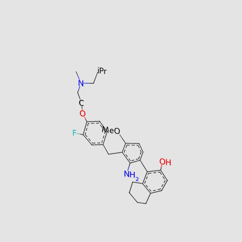 COc1ccc(-c2c(O)ccc3c2CCCC3)c(N)c1Cc1ccc(OCCN(C)CC(C)C)c(F)c1